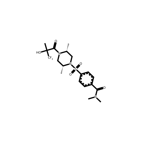 C[C@@H]1CN(S(=O)(=O)c2ccc(C(=O)N(C)C)cc2)[C@H](C)CN1C(=O)C(C)(O)C(F)(F)F